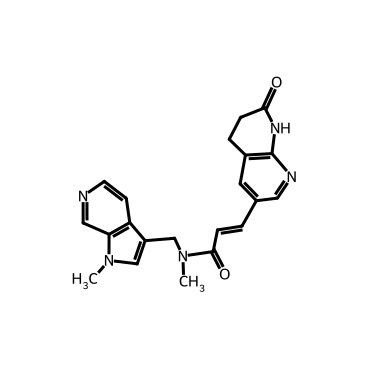 CN(Cc1cn(C)c2cnccc12)C(=O)C=Cc1cnc2c(c1)CCC(=O)N2